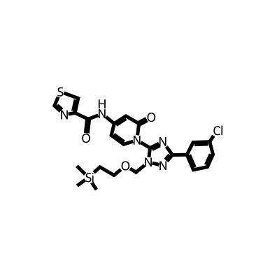 C[Si](C)(C)CCOCn1nc(-c2cccc(Cl)c2)nc1-n1ccc(NC(=O)c2cscn2)cc1=O